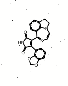 O=C1NC(=O)C(c2cccc3c2OCO3)=C1C1=NC=CN2CCc3cccc1c32